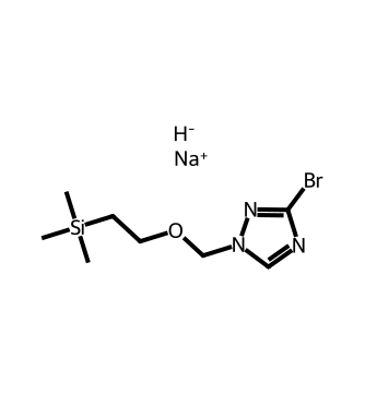 C[Si](C)(C)CCOCn1cnc(Br)n1.[H-].[Na+]